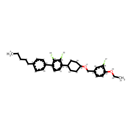 CCCCCc1ccc(-c2ccc(C3CCC(OCc4ccc(OCC)c(F)c4)CC3)c(F)c2F)cc1